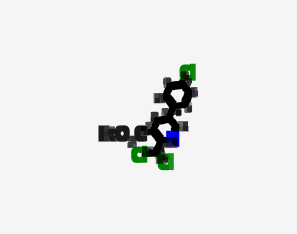 CCOC(=O)c1cc(-c2ccc(Cl)cc2)cnc1C(Cl)Cl